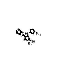 CC[C@@H](C)Nc1nc(C)c(-c2nc3cnccc3s2)c(N[C@H]2CC[C@@H](CO)C2)n1